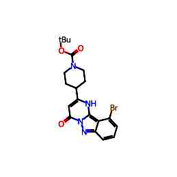 CC(C)(C)OC(=O)N1CCC(c2cc(=O)n3nc4cccc(Br)c4c3[nH]2)CC1